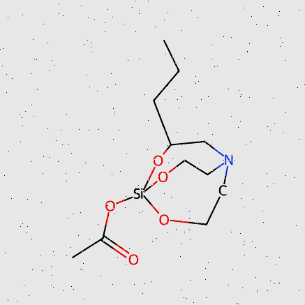 CCCC1CN2CCO[Si](OC(C)=O)(OCC2)O1